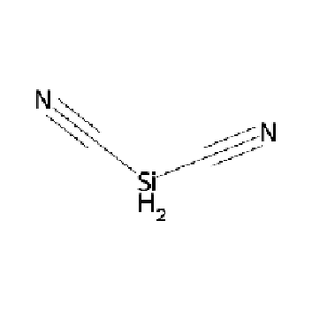 N#C[SiH2]C#N